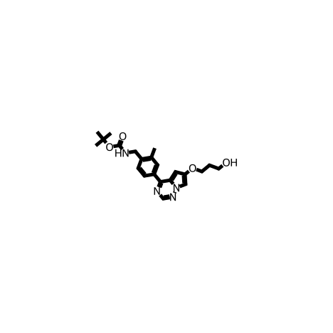 Cc1cc(-c2ncnn3cc(OCCCO)cc23)ccc1CNC(=O)OC(C)(C)C